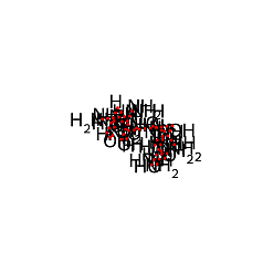 CC(C)CC(NC(=O)[C@H](CCCNC(=N)N)NC(=O)C(Cc1ccc(O)cc1)NNC(=O)C(N)CCCCC(N)C(=O)NNC(Cc1ccc(O)cc1)C(=O)N[C@@H](CCCNC(=N)N)C(=O)NC(CC(C)C)C(=O)N[C@@H](CCCNC(=N)N)C(=O)NC(Cc1ccc(O)cc1)C(N)=O)C(=O)N[C@@H](CCCNC(=N)N)C(=O)NC(Cc1ccc(O)cc1)C(N)=O